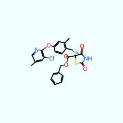 Cc1cnc(Oc2ccc(C[C@@]3(C(=O)OCc4ccccc4)SC(=O)NC3=O)c(C)c2)c(Cl)c1